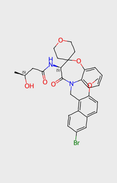 COc1ccc2cc(Br)ccc2c1CN1C(=O)[C@@H](NC(=O)C[C@H](C)O)C2(CCOCC2)Oc2ccccc21